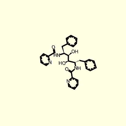 O=C(N[C@@H](Cc1ccccc1)[C@@H](O)[C@H](O)[C@H](Cc1ccccc1)NC(=O)c1ccccn1)c1ccccn1